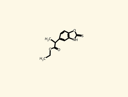 CCOC(=O)C(C)c1ccc2oc(=S)[nH]c2c1